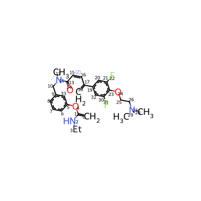 C=C(NCC)Oc1cccc(CN(C)C(=O)/C=C\C(=C)c2cc(F)c(OCCN(C)C)c(F)c2)c1